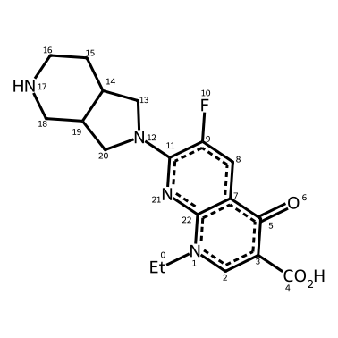 CCn1cc(C(=O)O)c(=O)c2cc(F)c(N3CC4CCNCC4C3)nc21